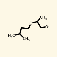 CC(C)CCOC(C)C[O]